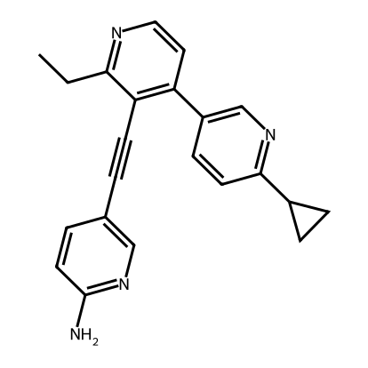 CCc1nccc(-c2ccc(C3CC3)nc2)c1C#Cc1ccc(N)nc1